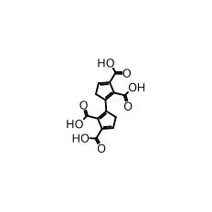 O=C(O)C1=CCC(C2=C(C(=O)O)C(C(=O)O)=CC2)=C1C(=O)O